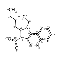 CCCCC1N(CC)c2c(cnc3ccccc23)N1P(=O)=O